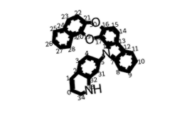 C1=Cc2ccc(-n3c4ccccc4c4ccc5c(c43)Oc3c(ccc4ccccc34)O5)cc2NC1